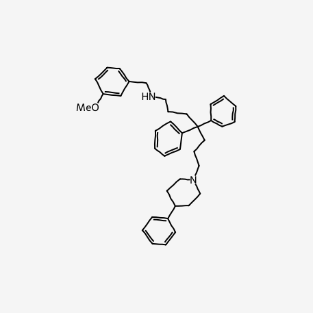 COc1cccc(CNCCCC(CCCN2CCC(c3ccccc3)CC2)(c2ccccc2)c2ccccc2)c1